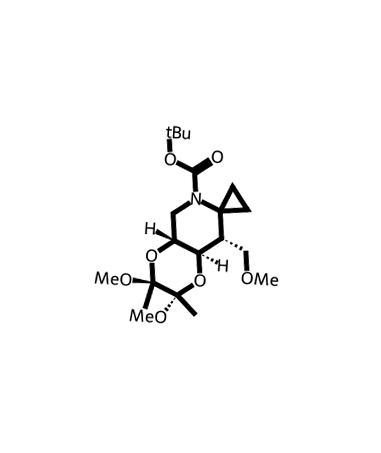 COC[C@@H]1[C@H]2O[C@](C)(OC)[C@@](C)(OC)O[C@@H]2CN(C(=O)OC(C)(C)C)C12CC2